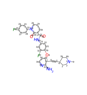 CN1CCC(C#Cc2c(Oc3ccc(NC(=O)c4cccn(-c5ccc(F)cc5)c4=O)cc3F)ccnc2N)CC1